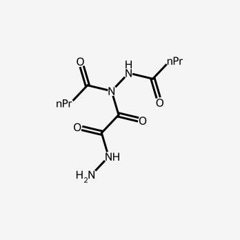 CCCC(=O)NN(C(=O)CCC)C(=O)C(=O)NN